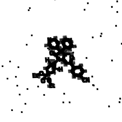 CCOP(=O)(OCC)N1C[C@@H]2[C@H](C1)[C@H]2N1C(=O)C(c2ccncc2)(c2ccncc2)N(C)C1=CC(=O)c1ccc(C#N)cc1